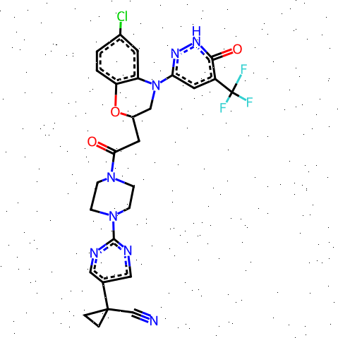 N#CC1(c2cnc(N3CCN(C(=O)CC4CN(c5cc(C(F)(F)F)c(=O)[nH]n5)c5cc(Cl)ccc5O4)CC3)nc2)CC1